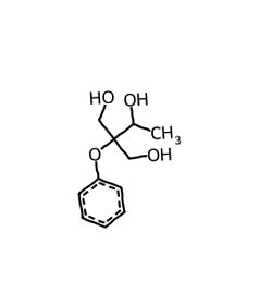 CC(O)C(CO)(CO)Oc1ccccc1